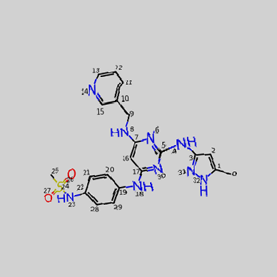 Cc1cc(Nc2nc(NCc3cccnc3)cc(Nc3ccc(NS(C)(=O)=O)cc3)n2)n[nH]1